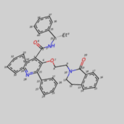 CC[C@H](NC(=O)c1c(OCCN2CCc3ccccc3C2=O)c(-c2ccccc2)nc2ccccc12)c1ccccc1